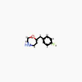 Fc1ccc(CC2CCNCCO2)cc1